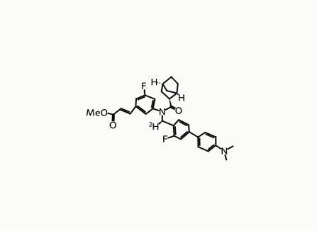 [2H][C@H](c1ccc(-c2ccc(N(C)C)cc2)cc1F)N(C(=O)[C@H]1C[C@H]2CC[C@@H]1C2)c1cc(F)cc(/C=C/C(=O)OC)c1